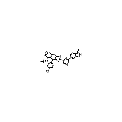 CC(=O)[C@@H](OC(C)(C)C)c1c(C)cc2nc(-c3cncc(-c4ccc5c(cnn5C)c4)n3)sc2c1-c1ccc(Cl)cc1